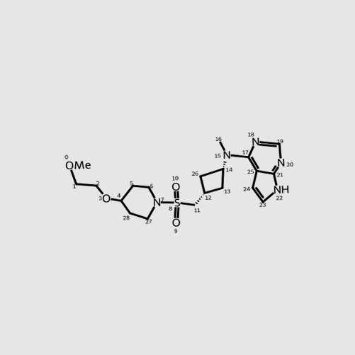 COCCOC1CCN(S(=O)(=O)C[C@H]2C[C@@H](N(C)c3ncnc4[nH]ccc34)C2)CC1